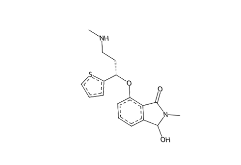 CNCC[C@H](Oc1cccc2c1C(=O)N(C)C2O)c1cccs1